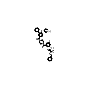 O=C(Nc1cc(F)cc(C(=O)N2CCN(C(=O)c3ccc(O[C@H]4CCNC4)c(C4CCCCC4)c3)CC2)c1)C(=O)OCc1ccccc1